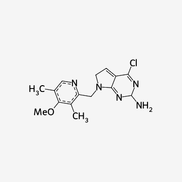 COc1c(C)cnc(CN2CC=C3C(Cl)=NC(N)N=C32)c1C